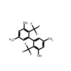 Cc1cc(O)c(C(F)(F)F)c(-c2cc(C)cc(O)c2C(F)(F)F)c1